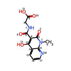 Cn1c(=O)c(C(=O)NCC(=O)O)c(O)c2cccnc21